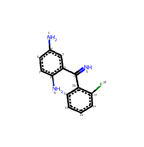 N=C(c1cc(N)ccc1N)c1ccccc1F